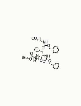 CC(C)(C)OC(=O)NNC(=O)[C@H](CC1CCCC1)NC(=O)OCc1ccccc1.O=C(O)CNC(=O)OCc1ccccc1